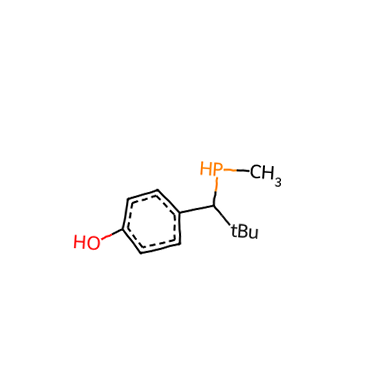 CPC(c1ccc(O)cc1)C(C)(C)C